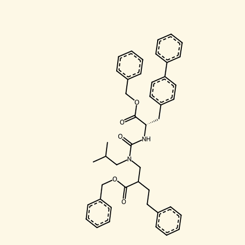 CC(C)CN(CC(CCc1ccccc1)C(=O)OCc1ccccc1)C(=O)N[C@@H](Cc1ccc(-c2ccccc2)cc1)C(=O)OCc1ccccc1